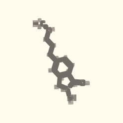 COCCCc1ccc2c(c1)CN(S)C2=O